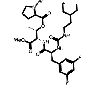 COC(=O)[C@@H](NC(=O)[C@H](Cc1cc(F)cc(F)c1)NC(=O)NCCC1CCCCC1)[C@H](C)OC(=O)C1CCCN1C(C)=O